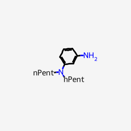 CCCCCN(CCCCC)c1cccc(N)c1